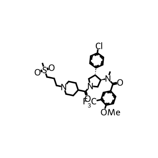 COc1ccc(C(=O)N(C)[C@H]2CN(C(=O)C3CCN(CCCS(C)(=O)=O)CC3)C[C@@H]2c2ccc(Cl)cc2)cc1C(F)(F)F